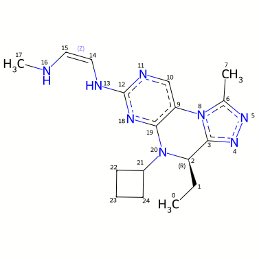 CC[C@@H]1c2nnc(C)n2-c2cnc(N/C=C\NC)nc2N1C1CCC1